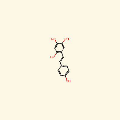 Oc1ccc(C=Cc2cc(O)c(O)cc2O)cc1